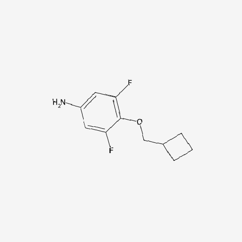 Nc1cc(F)c(OCC2CCC2)c(F)c1